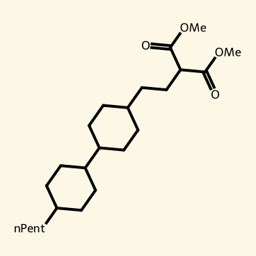 CCCCCC1CCC(C2CCC(CCC(C(=O)OC)C(=O)OC)CC2)CC1